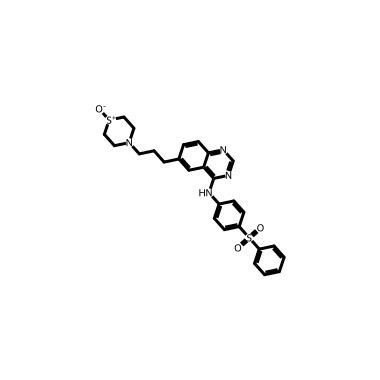 O=S(=O)(c1ccccc1)c1ccc(Nc2ncnc3ccc(CCCN4CC[S+]([O-])CC4)cc23)cc1